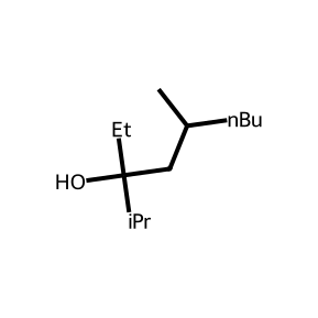 CCCCC(C)CC(O)(CC)C(C)C